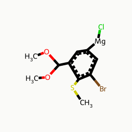 COC(OC)c1c[c]([Mg][Cl])cc(Br)c1SC